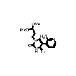 COC(CCn1cc(-c2cccnc2N)c(=O)[nH]c1=O)OC